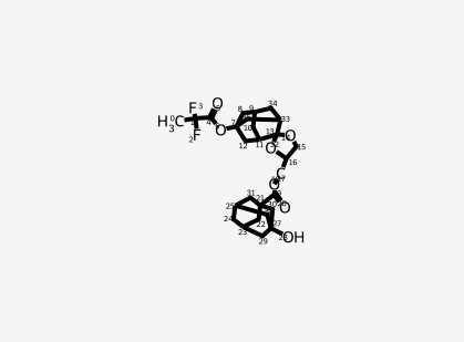 CC(F)(F)C(=O)OC12CC3CC(C1)C1(OCC(COC(=O)C45CC6CC(CC(O)(C6)C4)C5)O1)C(C3)C2